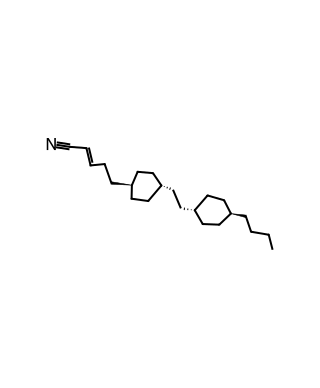 CCCC[C@H]1CC[C@H](CC[C@H]2CC[C@H](CCC=CC#N)CC2)CC1